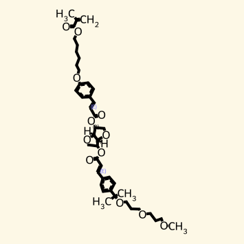 C=C(C)C(=O)OCCCCCCOc1ccc(/C=C/C(=O)O[C@@H]2CO[C@@H]3C(OC(=O)/C=C/c4ccc(C(C)(C)OCCCOCCCOC)cc4)CO[C@@H]32)cc1